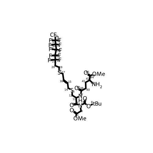 COC(=O)CN(C(=O)OC(C)(C)C)C(=O)C(CSCC=CCSCCC(F)(F)C(F)(F)C(F)(F)C(F)(F)C(F)(F)C(F)(F)F)NC(=O)CCC(N)C(=O)OC